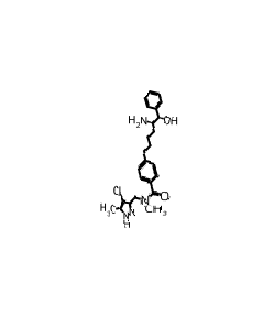 Cc1[nH]nc(CN(C)C(=O)c2ccc(CCCC[C@@H](N)[C@H](O)c3ccccc3)cc2)c1Cl